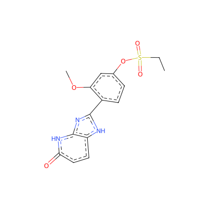 CCS(=O)(=O)Oc1ccc(-c2nc3[nH]c(=O)ccc3[nH]2)c(OC)c1